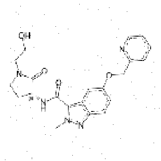 Cn1nc2ccc(OCc3ccccn3)cc2c1C(=O)N[C@@H]1CCN(CCO)C1=O